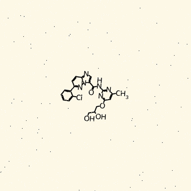 Cc1cc(OCC(O)CO)nc(NC(=O)c2cnc3ccc(-c4ccccc4Cl)nn23)n1